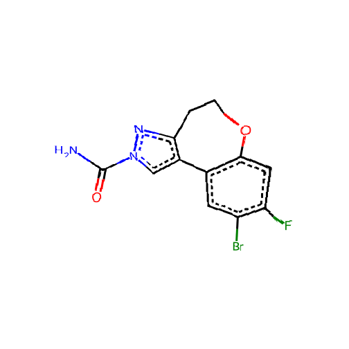 NC(=O)n1cc2c(n1)CCOc1cc(F)c(Br)cc1-2